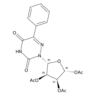 CC(=O)O[C@H]1O[C@@H](n2nc(-c3ccccc3)c(=O)[nH]c2=O)[C@H](OC(C)=O)[C@@H]1OC(C)=O